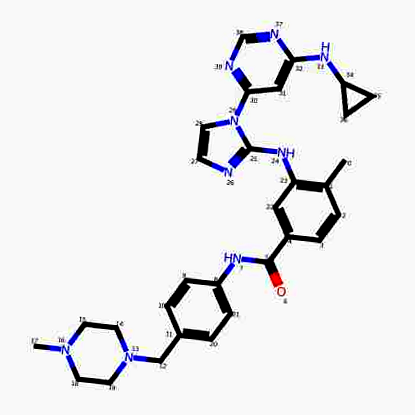 Cc1ccc(C(=O)Nc2ccc(CN3CCN(C)CC3)cc2)cc1Nc1nccn1-c1cc(NC2CC2)ncn1